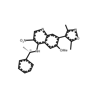 COc1cc2c(N[C@@H](C)c3ccccc3)c([N+](=O)[O-])cnc2cc1-c1c(C)noc1C